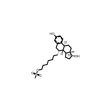 C[C@]12CC[C@@H]3c4ccc(O)cc4C[C@@H](CCCCCCCOS(C)(=O)=O)[C@H]3[C@@H]1CC[C@@H]2O